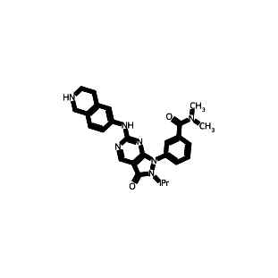 CC(C)n1c(=O)c2cnc(Nc3ccc4c(c3)CCNC4)nc2n1-c1cccc(C(=O)N(C)C)c1